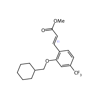 COC(=O)/C=C/c1ccc(C(F)(F)F)cc1OCC1CCCCC1